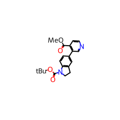 COC(=O)c1ccncc1-c1ccc2c(c1)CCN2C(=O)OC(C)(C)C